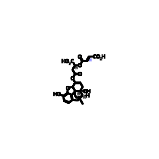 CN1CCC23c4c5ccc(O)c4OC2C(OC(=O)C[C@H](OC(=O)/C=C/C(=O)O)C(=O)O)=CC[C@@]3(O)[C@H]1C5